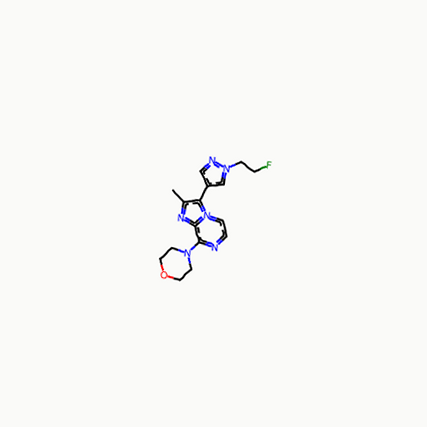 Cc1nc2c(N3CCOCC3)nccn2c1-c1cnn(CCF)c1